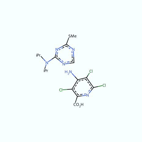 CSc1ncnc(N(C(C)C)C(C)C)n1.Nc1c(Cl)c(Cl)nc(C(=O)O)c1Cl